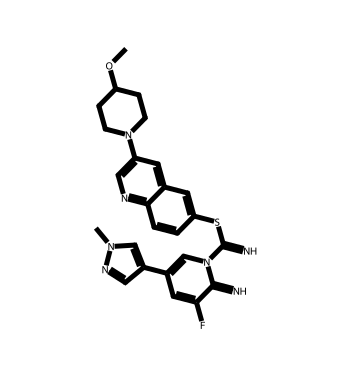 COC1CCN(c2cnc3ccc(SC(=N)n4cc(-c5cnn(C)c5)cc(F)c4=N)cc3c2)CC1